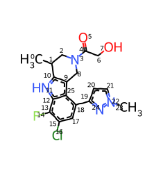 CC1CN(C(=O)CO)Cc2c1[nH]c1c(F)c(Cl)cc(-c3ccn(C)n3)c21